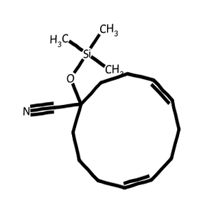 C[Si](C)(C)OC1(C#N)CC/C=C\CC/C=C\CCC1